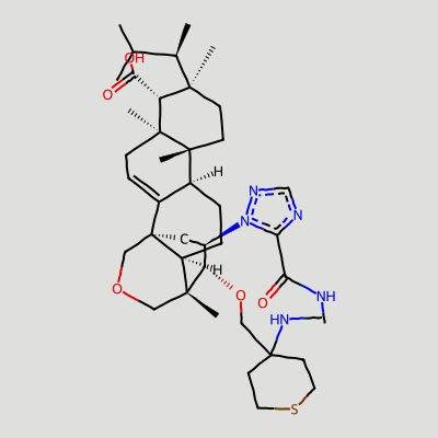 CNC(=O)c1ncnn1[C@@H]1C[C@@]23COC[C@](C)([C@@H]2CC[C@H]2C3=CC[C@@]3(C)[C@H](C(=O)O)[C@@](C)([C@H](C)C(C)C)CC[C@]23C)[C@H]1OCC1(NC)CCSCC1